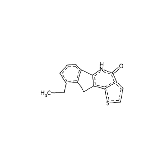 CCc1cccc2c1Cc1c-2[nH]c(=O)c2ccsc12